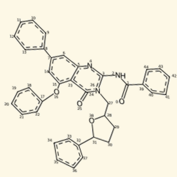 O=C(Nc1nc2cc(-c3ccccc3)cc(Oc3ccccc3)c2c(=O)n1CC1CCC(c2ccccc2)O1)c1ccccc1